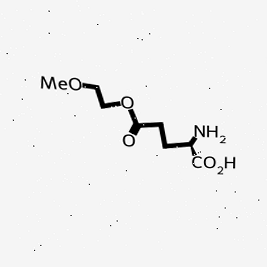 COCCOC(=O)CC[C@@H](N)C(=O)O